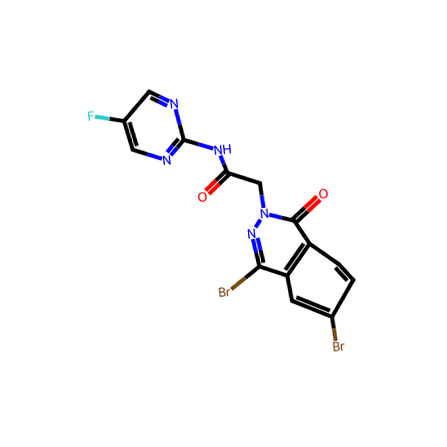 O=C(Cn1nc(Br)c2cc(Br)ccc2c1=O)Nc1ncc(F)cn1